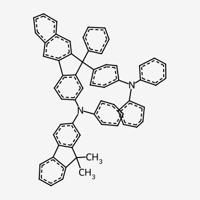 CC1(C)c2ccccc2-c2ccc(N(c3ccccc3)c3ccc4c(c3)C(c3ccccc3)(c3ccc(N(c5ccccc5)c5ccccc5)cc3)c3cc5ccccc5cc3-4)cc21